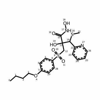 CCCCOc1ccc(S(=O)(=O)CC(O)(C(=O)NO)C(SC)c2ccccn2)cc1